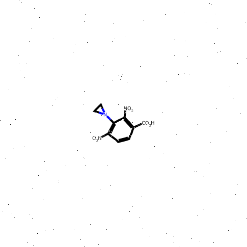 O=C(O)c1ccc([N+](=O)[O-])c(N2CC2)c1[N+](=O)[O-]